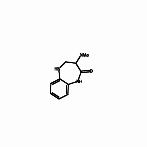 CNC1CNc2ccccc2NC1=O